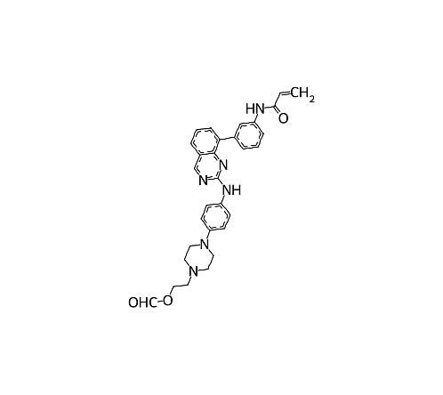 C=CC(=O)Nc1cccc(-c2cccc3cnc(Nc4ccc(N5CCN(CCOC=O)CC5)cc4)nc23)c1